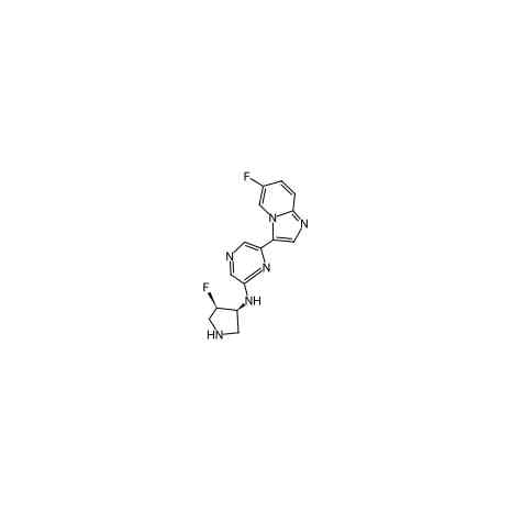 Fc1ccc2ncc(-c3cncc(N[C@H]4CNC[C@H]4F)n3)n2c1